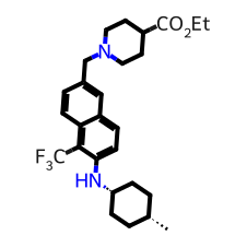 CCOC(=O)C1CCN(Cc2ccc3c(C(F)(F)F)c(N[C@H]4CC[C@@H](C)CC4)ccc3c2)CC1